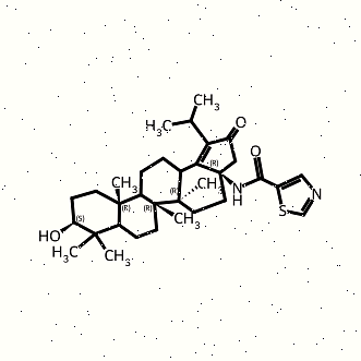 CC(C)C1=C2C3CCC4[C@@]5(C)CC[C@H](O)C(C)(C)C5CC[C@@]4(C)[C@]3(C)CC[C@@]2(NC(=O)c2cncs2)CC1=O